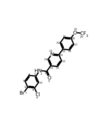 O=C(Nc1ccc(Br)c(Cl)c1)c1ccc(-c2ccc(OC(F)(F)F)cc2)nc1